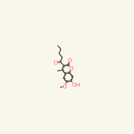 CCCCC(=O)c1c(C)c2cc(OC)c(O)cc2oc1=O